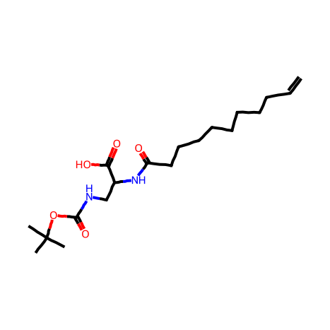 C=CCCCCCCCCC(=O)NC(CNC(=O)OC(C)(C)C)C(=O)O